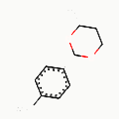 COc1ccc([C@H]2OCC[C@@H](C(C)=O)O2)cc1